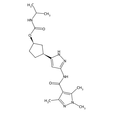 Cc1nn(C)c(C)c1C(=O)Nc1cc([C@H]2CC[C@@H](OC(=O)NC(C)C)C2)[nH]n1